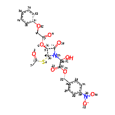 CC(=O)S[C@@H]1[C@@H](OC(=O)COc2ccccc2)C(=O)N1C(O)C(=O)OCc1ccc([N+](=O)[O-])cc1